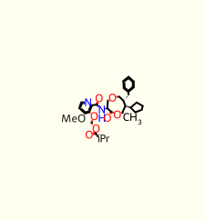 COc1ccnc(C(=O)N[C@H]2COC[C@H](Cc3ccccc3)[C@@H](C3CCCC3)[C@H](C)OC2=O)c1OCOC(=O)C(C)C